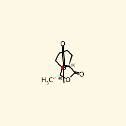 C[C@H]1OC(=O)[C@@]23CCCCC12OC(=O)C3